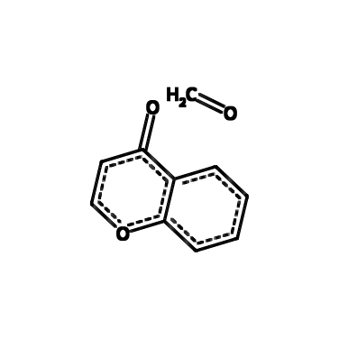 C=O.O=c1ccoc2ccccc12